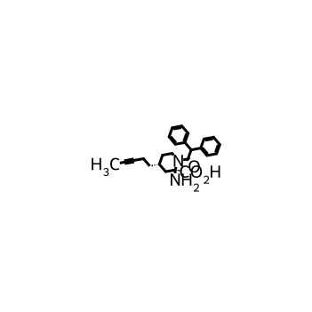 CC#CCC[C@@H]1CCN(C(=O)C(c2ccccc2)c2ccccc2)[C@](N)(C(=O)O)C1